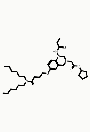 CCCCCCN(CCCCCC)C(=O)CCCOc1ccc2c(c1)CN(CC(=O)OC1CCCC1)CN2NC(=O)CC